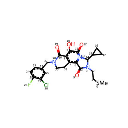 CSCCN1C(=O)c2c3c(c(O)c(=O)n2C1C1CC1)C(=O)N(Cc1ccc(F)c(Cl)c1)CC3